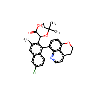 Cc1cc2cc(Cl)ccc2c(-c2ccc3c4c(ccnc24)CCO3)c1[C@H](OC(C)(C)C)C(=O)O